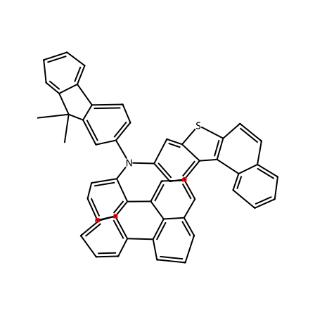 CC1(C)c2ccccc2-c2ccc(N(c3ccc4c(c3)sc3ccc5ccccc5c34)c3ccccc3-c3cccc4cccc(-c5ccccc5)c34)cc21